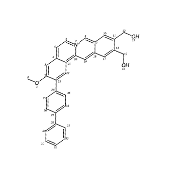 COc1cc2cc[n+]3cc4cc(CO)c(CO)cc4cc3c2cc1-c1ccc(-c2ccccc2)cc1